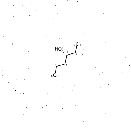 N#CC[C@@H](O)CCO